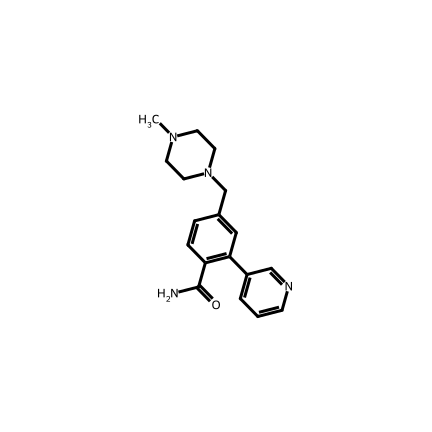 CN1CCN(Cc2ccc(C(N)=O)c(-c3cccnc3)c2)CC1